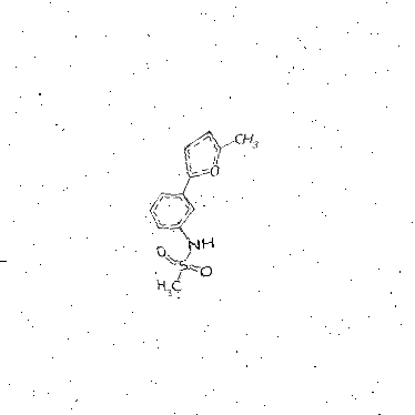 Cc1ccc(-c2cccc(NS(C)(=O)=O)c2)o1